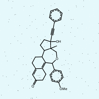 COc1ccc(C2OCC3(C)C(CCC3(O)C#Cc3ccccc3)C3CCC4=CC(=O)CCC4=C23)cc1